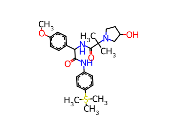 COc1ccc(C(NC(=O)C(C)(C)N2CCC(O)C2)C(=O)Nc2ccc(S(C)(C)C)cc2)cc1